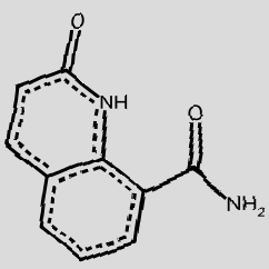 NC(=O)c1cccc2ccc(=O)[nH]c12